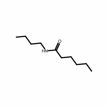 CCC[CH]NC(=O)CCCCC